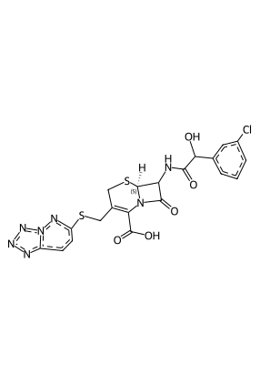 O=C(O)C1=C(CSc2ccc3nnnn3n2)CS[C@H]2C(NC(=O)C(O)c3cccc(Cl)c3)C(=O)N12